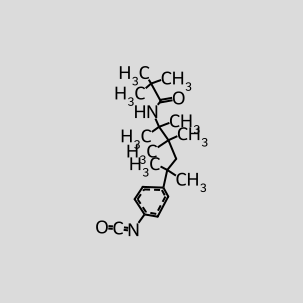 CC(C)(C)C(=O)NC(C)(C)C(C)(C)CC(C)(C)c1ccc(N=C=O)cc1